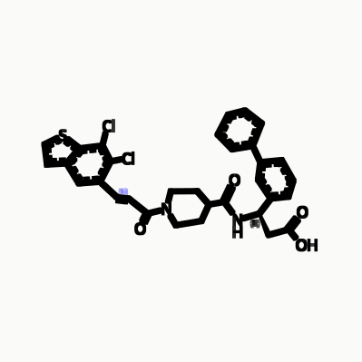 O=C(O)C[C@@H](NC(=O)C1CCN(C(=O)/C=C/c2cc3ccsc3c(Cl)c2Cl)CC1)c1cccc(-c2ccccc2)c1